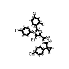 CCc1c(-c2nnc(C3(c4ccc(Cl)cc4)CC3)s2)nc(-c2ccc(Cl)cc2Cl)n1-c1ccc(Cl)cc1